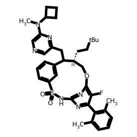 Cc1cccc(C)c1-c1nc2nc(c1F)OC[C@@H](CCC(C)(C)C)C(Cc1cncc(N(C)C3CCC3)n1)c1cccc(c1)S(=O)(=O)N2